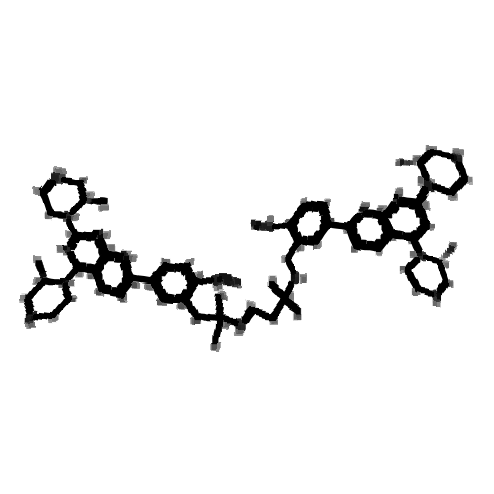 COc1ccc(-c2ccc3c(N4CCOC[C@H]4C)cc(N4CCOC[C@H]4C)nc3n2)cc1COC(C)(C)CCOC(C)(C)Cc1cc(-c2ccc3c(N4CCOC[C@H]4C)nc(N4CCOC[C@H]4C)nc3n2)ccc1OC